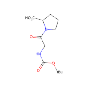 CC(C)(C)OC(=O)NCC(=O)N1CCCC1C(=O)O